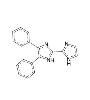 c1ccc(-c2nc(-c3ncc[nH]3)[nH]c2-c2ccccc2)cc1